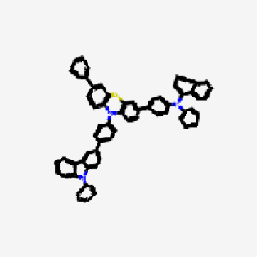 c1ccc(-c2ccc3c(c2)Sc2cc(-c4ccc(N(c5ccccc5)c5cccc6ccccc56)cc4)ccc2N3c2ccc(-c3ccc4c(c3)c3ccccc3n4-c3ccccc3)cc2)cc1